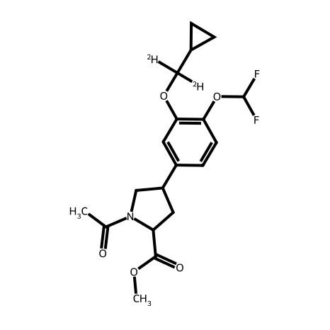 [2H]C([2H])(Oc1cc(C2CC(C(=O)OC)N(C(C)=O)C2)ccc1OC(F)F)C1CC1